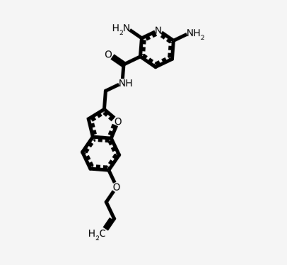 C=CCOc1ccc2cc(CNC(=O)c3ccc(N)nc3N)oc2c1